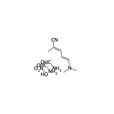 CC(C#N)=CC=CN(C)C.NC=O.NC=O.O=[N+]([O-])O